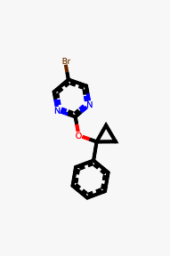 Brc1cnc(OC2(c3ccccc3)CC2)nc1